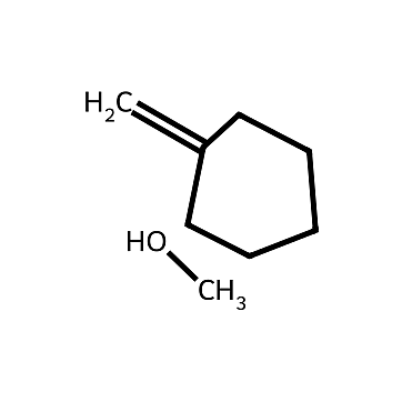 C=C1CCCCC1.CO